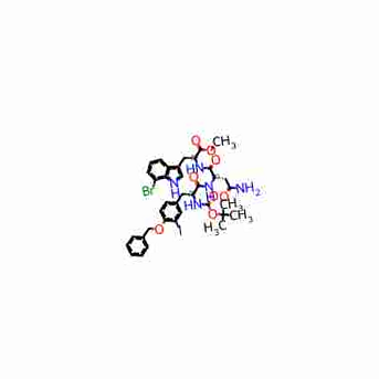 COC(=O)[C@H](Cc1c[nH]c2c(Br)cccc12)NC(=O)[C@H](CC(N)=O)NC(=O)[C@H](Cc1ccc(OCc2ccccc2)c(I)c1)NC(=O)OC(C)(C)C